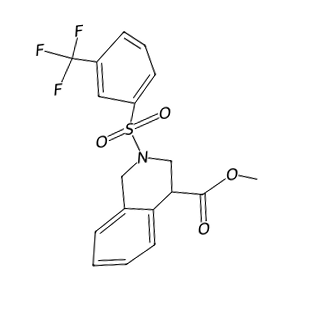 COC(=O)C1CN(S(=O)(=O)c2cccc(C(F)(F)F)c2)Cc2ccccc21